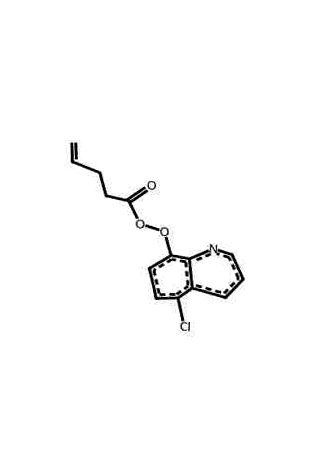 C=CCCC(=O)OOc1ccc(Cl)c2cccnc12